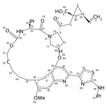 C=C[C@@H]1C[C@]1(CC(=O)[C@@H]1C[C@@H]2CN1C(=O)[C@H](C(C)C)NC(=O)OCCCCCc1cc3c(cc(-c4csc(NC(C)C)n4)nc3cc1OC)O2)C(=O)O